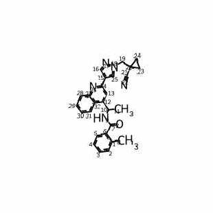 Cc1ccccc1C(=O)NC(C)c1cc(-c2cnn(CC3(C#N)CC3)c2)nc2ccccc12